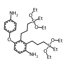 CCO[Si](CC)(CCCc1c(N)ccc(Oc2ccc(N)cc2)c1CCC[Si](CC)(OCC)OCC)OCC